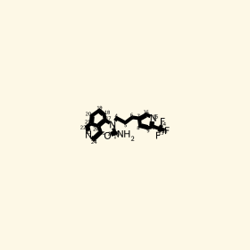 NC(=O)N(CCCc1ccc(C(F)(F)F)nc1)c1cccc2cnccc12